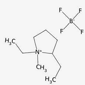 CCC1CCC[N+]1(C)CC.F[B-](F)(F)F